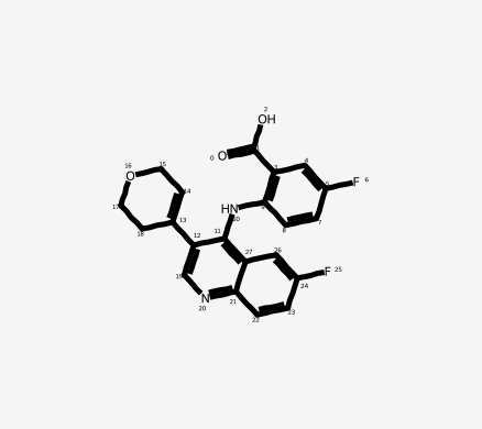 O=C(O)c1cc(F)ccc1Nc1c(C2=CCOCC2)cnc2ccc(F)cc12